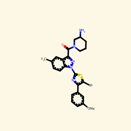 COc1cccc(-c2nc(-n3nc(C(=O)N4CCCC(N)C4)c4cc(C(F)(F)F)ccc43)sc2C(C)C)c1